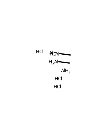 Cl.Cl.Cl.[AlH3].[AlH3].[CH3][AlH2].[CH3][AlH2]